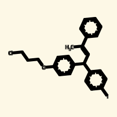 CC(=CC(c1ccc(I)cc1)c1ccc(OCCCCl)cc1)c1ccccc1